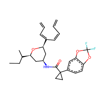 C=C/C=C\C(=C/C=C)[C@H]1C[C@@H](NC(=O)C2(c3ccc4c(c3)OC(F)(F)O4)CC2)C[C@@H](C(C)CC)O1